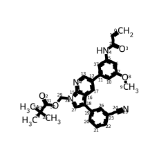 C=CC(=O)Nc1cc(OC)cc(-c2cnc3c(c2)c(-c2cccc(C#N)c2)cn3COC(=O)C(C)(C)C)c1